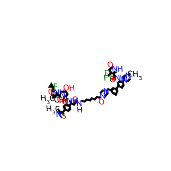 Cc1ncsc1-c1ccc(C(CC(=O)NCCCCCCCC(=O)N2CCN(Cc3cccc(-c4ccc(N5CCN(C)CC5)c(NC(=O)c5c[nH]c(=O)cc5C(F)(F)F)c4)c3)CC2)NC(=O)[C@@H]2C[C@@H](O)CN2C(=O)C(NC(=O)C2(F)CC2)C(C)(C)C)cc1